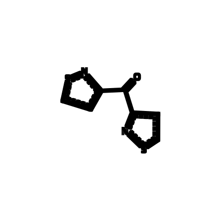 O=C(c1ccsn1)c1ccsn1